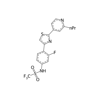 CCCc1cc(-c2nc(-c3ccc(NS(=O)(=O)C(F)(F)F)cc3F)cs2)ccn1